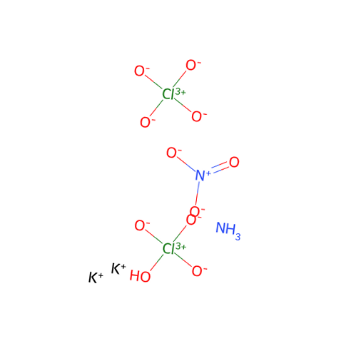 N.O=[N+]([O-])[O-].[K+].[K+].[O-][Cl+3]([O-])([O-])O.[O-][Cl+3]([O-])([O-])[O-]